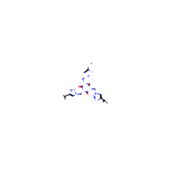 CSc1cn(Cn2c(=O)n(Cn3cc(C(C)C)nn3)c(=O)n(Cn3cc(C(C)(C)C)nn3)c2=O)nn1